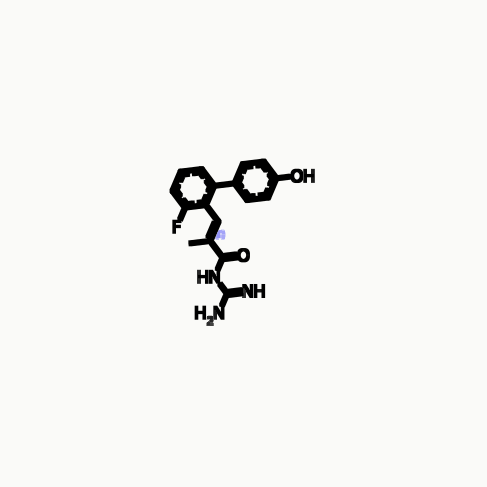 C/C(=C\c1c(F)cccc1-c1ccc(O)cc1)C(=O)NC(=N)N